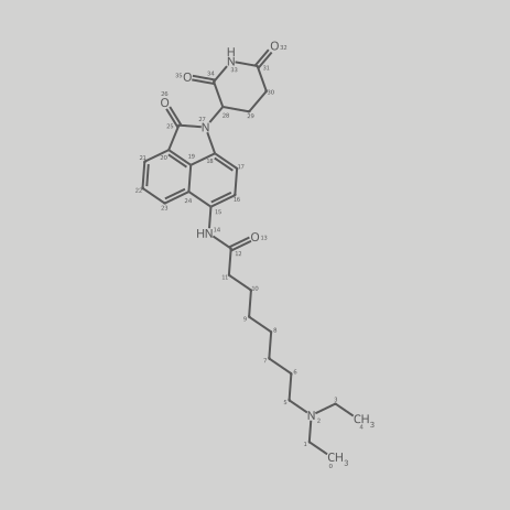 CCN(CC)CCCCCCCC(=O)Nc1ccc2c3c(cccc13)C(=O)N2C1CCC(=O)NC1=O